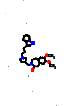 COc1cc2c(cc1OC)CC(=O)N(CC1CCN(CCCc3c[nH]c4ccccc34)C1)CC2